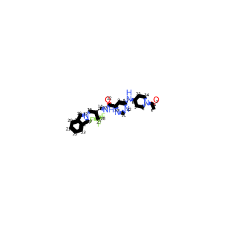 CC(=O)N1CCC(Nc2cc(C(=O)NC[C@@H](CN3Cc4ccccc4C3)C(F)(F)F)ncn2)CC1